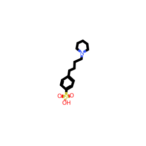 O=S(=O)(O)c1ccc(CCCCN2CCCCC2)cc1